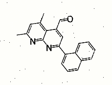 Cc1cc(C)c2c(C=O)cc(-c3cccc4ccccc34)nc2n1